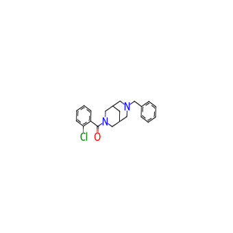 O=C(c1ccccc1Cl)N1CC2CC(CN(Cc3ccccc3)C2)C1